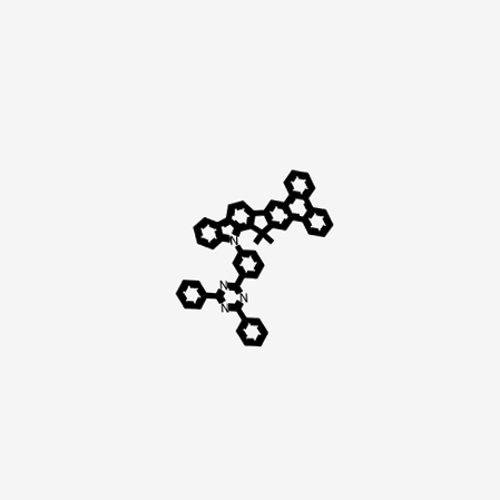 CC1(C)c2cc3c4ccccc4c4ccccc4c3cc2-c2ccc3c4ccccc4n(-c4cccc(-c5nc(-c6ccccc6)nc(-c6ccccc6)n5)c4)c3c21